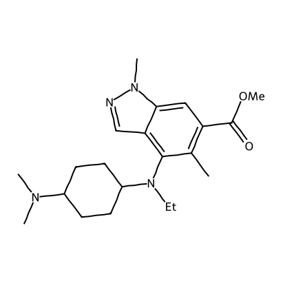 CCN(c1c(C)c(C(=O)OC)cc2c1cnn2C)C1CCC(N(C)C)CC1